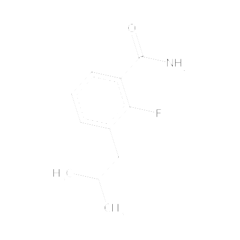 CC(C)Cc1cccc(C(N)=O)c1F